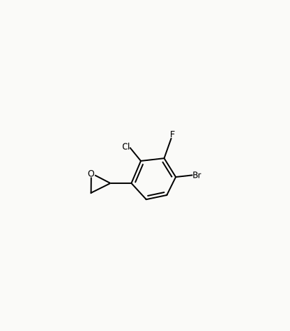 Fc1c(Br)ccc(C2CO2)c1Cl